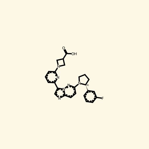 O=C(O)C1CN(c2cccc(-c3cnc4ccc(N5CCC[C@@H]5c5cccc(F)c5)nn34)n2)C1